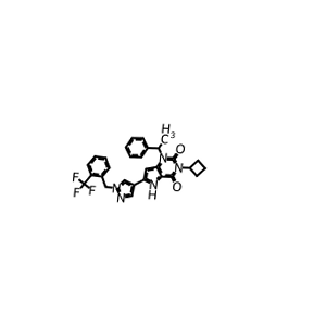 CC(c1ccccc1)n1c(=O)n(C2CCC2)c(=O)c2[nH]c(-c3cnn(Cc4ccccc4C(F)(F)F)c3)cc21